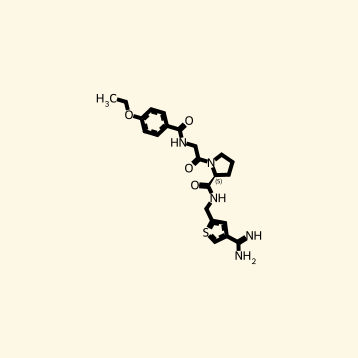 CCOc1ccc(C(=O)NCC(=O)N2CCC[C@H]2C(=O)NCc2cc(C(=N)N)cs2)cc1